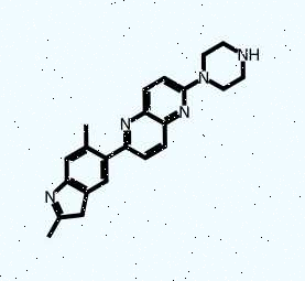 CC1=Nc2cc(C)c(-c3ccc4nc(N5CCNCC5)ccc4n3)cc2C1